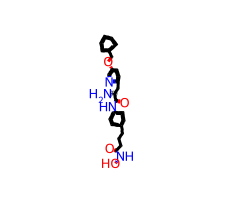 N[C@H](Cc1ccc(OCc2ccccc2)cn1)C(=O)Nc1ccc(CCCC(=O)NO)cc1